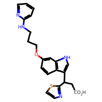 O=C(O)CC(c1nccs1)c1c[nH]c2cc(OCCCNc3ccccn3)ccc12